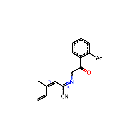 C=C/C(C)=C\C(C#N)=N/CC(=O)c1ccccc1C(C)=O